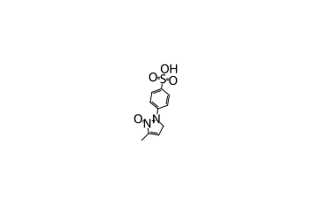 CC1=CCN(c2ccc(S(=O)(=O)O)cc2)[N+]1=O